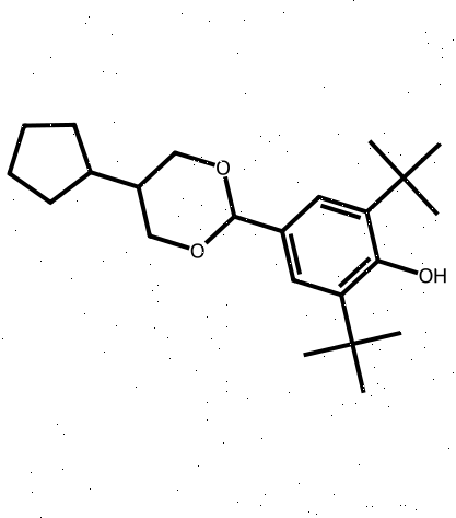 CC(C)(C)c1cc(C2OCC(C3CCCC3)CO2)cc(C(C)(C)C)c1O